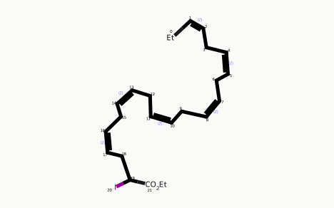 CC/C=C\C/C=C\C/C=C\C/C=C\C/C=C\C/C=C\CC(I)C(=O)OCC